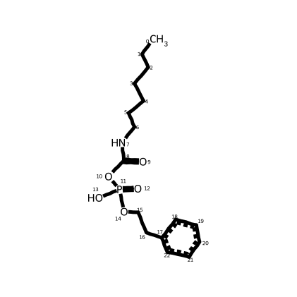 CCCCCCCNC(=O)OP(=O)(O)OCCc1ccccc1